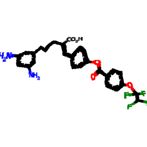 Nc1cc(N)cc(CCCC(=Cc2ccc(OC(=O)c3ccc(OC(F)(F)C(F)F)cc3)cc2)C(=O)O)c1